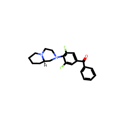 O=C(c1ccccc1)c1cc(F)c(N2CCN3CCCC[C@@H]3C2)c(F)c1